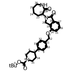 CC(C)(C)OC(=O)N1CCC(c2ccc(COc3cccc4c3CN([C@H]3CCCCNC3=O)C4=O)cc2)CC1